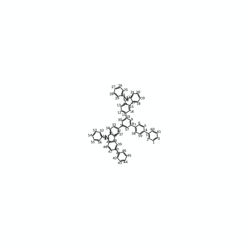 c1ccc(-c2ccc(-c3cc(-c4ccc5c(c4)c4ccccc4n5-c4ccccc4)cc(-c4ccc5c(c4)c4cc(-c6ccccc6)ccc4n5-c4ccccc4)c3)cc2)cc1